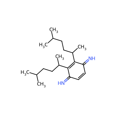 CC(C)CCC(C)C1=C(C(C)CCC(C)C)C(=N)C=CC1=N